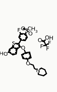 CS(=O)(=O)c1ccc(-c2sc3cc(O)ccc3c2Oc2ccc(OCCN3CCCCC3)cc2)cc1F.O=C(O)C(F)(F)F